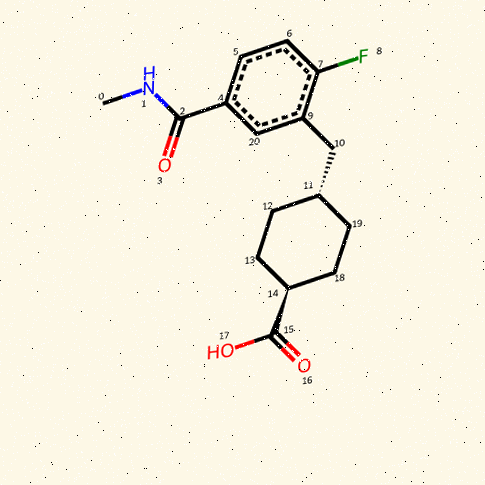 CNC(=O)c1ccc(F)c(C[C@H]2CC[C@H](C(=O)O)CC2)c1